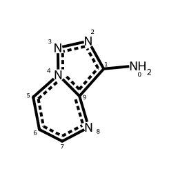 Nc1nnn2cccnc12